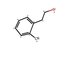 N#Cc1ccccc1CCBr